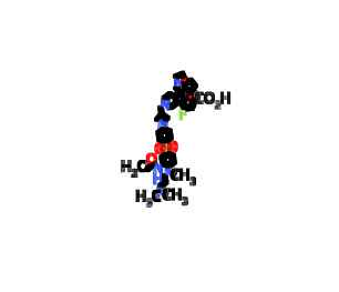 C=CC(=O)Nc1cc(S(=O)(=O)c2ccc(N3CC(CN4CCC(C(CN5CCC5)(c5cccc(F)c5)[C@H]5CCC[C@@H]5NC(=O)O)CC4)C3)cc2)ccc1N(C)CCCN(C)C